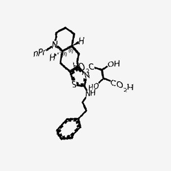 CCCN1CCC[C@@H]2Cc3nc(NCCc4ccccc4)sc3C[C@H]21.O=C(O)C(O)C(O)C(=O)O